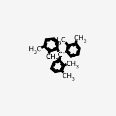 Cc1cccc([C+](c2cccc(C)c2C)c2cccc(C)c2C)c1C